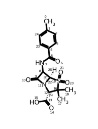 Cc1ccc(C(=O)NC2C(=O)N3[C@@H](C(=O)O)C(C)(C)S(=O)(=O)[C@H]23)cc1